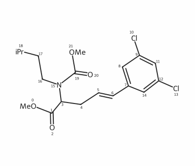 COC(=O)C(C/C=C/c1cc(Cl)cc(Cl)c1)N(CCC(C)C)C(=O)OC